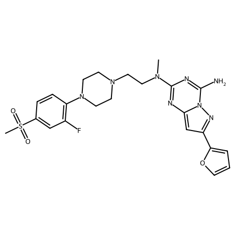 CN(CCN1CCN(c2ccc(S(C)(=O)=O)cc2F)CC1)c1nc(N)n2nc(-c3ccco3)cc2n1